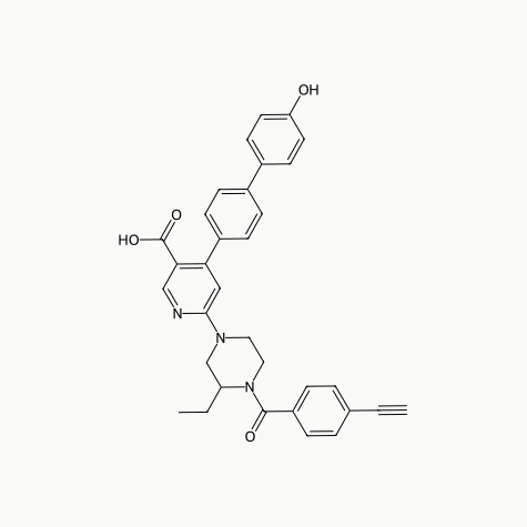 C#Cc1ccc(C(=O)N2CCN(c3cc(-c4ccc(-c5ccc(O)cc5)cc4)c(C(=O)O)cn3)CC2CC)cc1